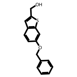 OCc1cc2ccc(OCc3ccccc3)cc2s1